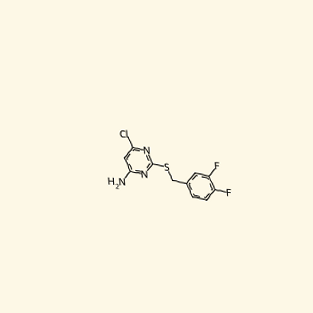 Nc1cc(Cl)nc(SCc2ccc(F)c(F)c2)n1